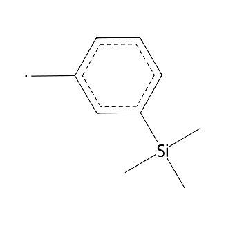 [CH2]c1cccc([Si](C)(C)C)c1